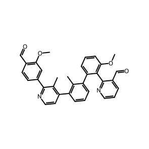 COc1cc(-c2nccc(-c3cccc(-c4cccc(OC)c4-c4ncccc4C=O)c3C)c2C)ccc1C=O